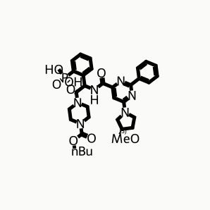 CCCCOC(=O)N1CCN(C(=O)C(NC(=O)c2cc(N3CC[C@H](OC)C3)nc(-c3ccccc3)n2)c2ccccc2P(=O)(O)O)CC1